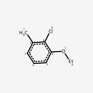 CCOc1cccc(C)c1Cl